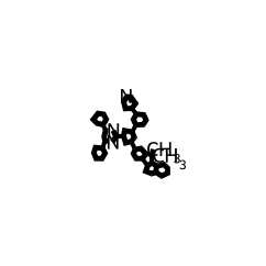 CC1(C)c2cc(-c3cc(-c4cccc(-c5ccncc5)c4)cc(-c4nc(-c5ccccc5)cc(-c5ccccc5)n4)c3)ccc2-c2ccc3ccccc3c21